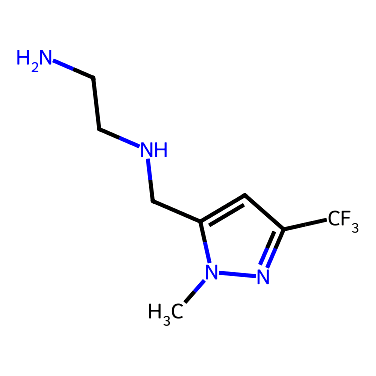 Cn1nc(C(F)(F)F)cc1CNCCN